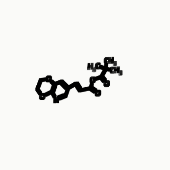 CC(C)(C)C(=O)OC(=O)C=Cc1cnc2c(c1)OCCO2